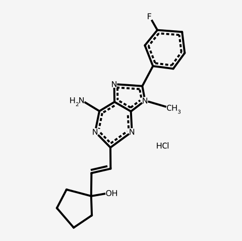 Cl.Cn1c(-c2cccc(F)c2)nc2c(N)nc(C=CC3(O)CCCC3)nc21